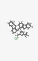 CC1C=C(C(C)(C)C)C=[C]1[Zr+2]([c]1cccc2c1Cc1ccccc1-2)=[c]1cccc2c1=Cc1ccccc1-2.[Cl-].[Cl-]